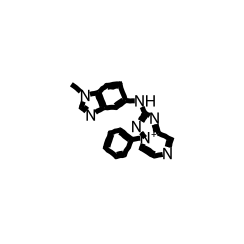 Cn1cnc2cc(NC3=N[N+]4(c5ccccc5)C=CN=CC4=N3)ccc21